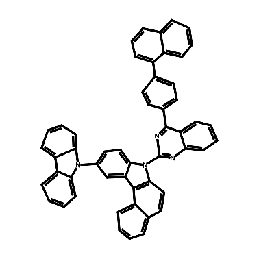 c1ccc2c(-c3ccc(-c4nc(-n5c6ccc(-n7c8ccccc8c8ccccc87)cc6c6c7ccccc7ccc65)nc5ccccc45)cc3)cccc2c1